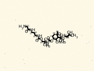 COC1C(OC(=O)NC(C)(C)COC(=O)NCCCNC(=O)CN)CC[C@]2(CO2)C1C(C)(C)OCC=C(C)C